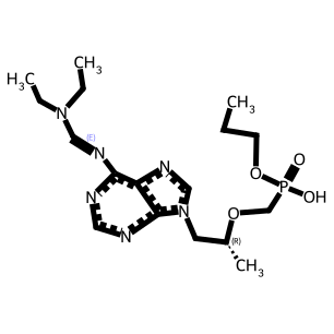 CCCOP(=O)(O)CO[C@H](C)Cn1cnc2c(/N=C/N(CC)CC)ncnc21